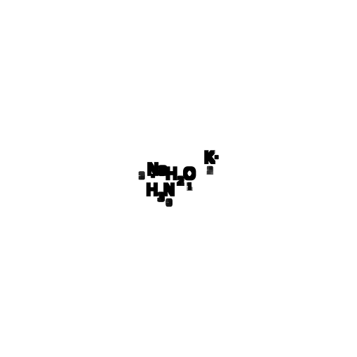 N.O.[K].[Na]